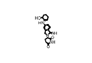 N=C1c2ccc(N[C@H]3CCCC[C@H]3O)cc2CN1C1CCC(=O)NC1=O